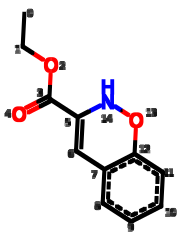 CCOC(=O)C1=Cc2ccccc2ON1